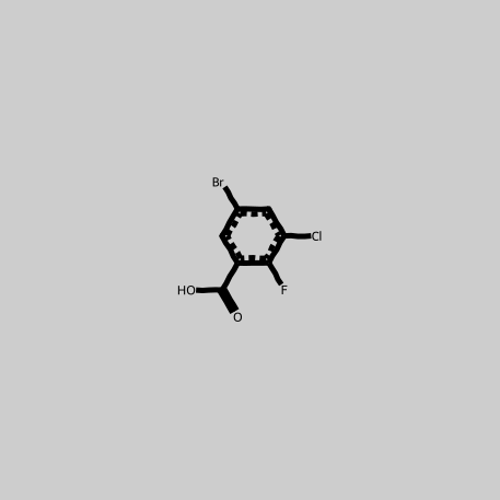 O=C(O)c1cc(Br)cc(Cl)c1F